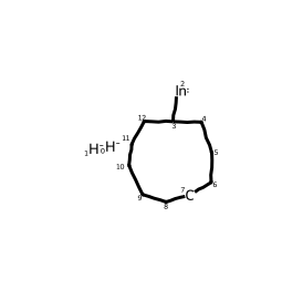 [H-].[H-].[In][CH]1CCCCCCCCC1